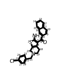 Nc1sc2c(c1C(=O)c1ccc3ccccc3c1)CCN(Cc1ccc(Cl)cc1)C2